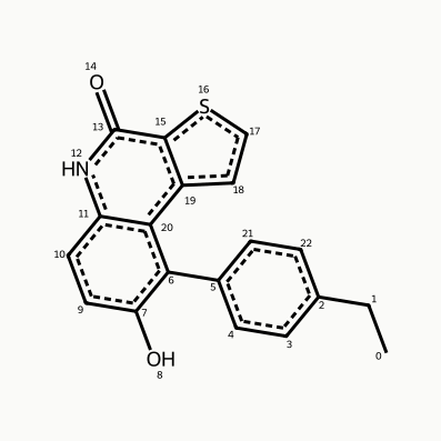 CCc1ccc(-c2c(O)ccc3[nH]c(=O)c4sccc4c23)cc1